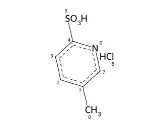 Cc1ccc(S(=O)(=O)O)nc1.Cl